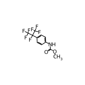 COC(=O)Nc1ccc(C(F)(C(F)(F)F)C(F)(F)F)cc1